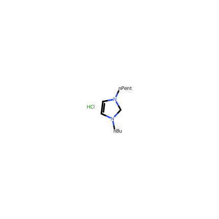 CCCCCN1C=CN(CCCC)C1.Cl